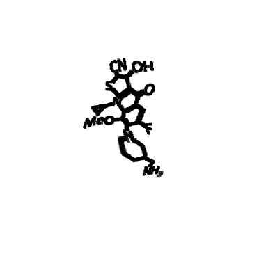 COc1c(N2CCCC(CN)C2)c(F)cc2c(=O)c3c(n(C4CC4)c12)SC(C#N)C3O